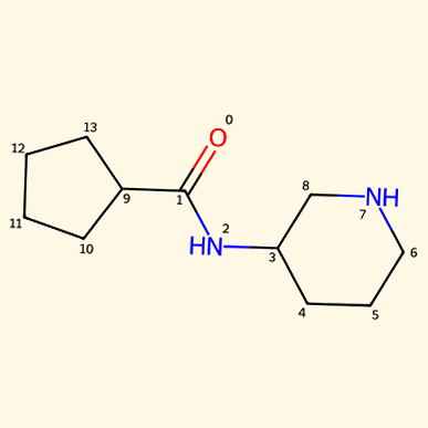 O=C(NC1CCCNC1)C1CCCC1